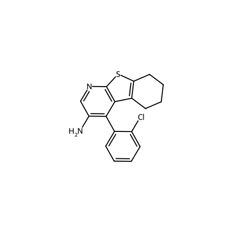 Nc1cnc2sc3c(c2c1-c1ccccc1Cl)CCCC3